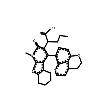 CCCC(C(=O)O)c1c(-c2ccc3c4c(ccnc24)CCO3)c2c3c(sc2n(C)c1=O)CCCC3